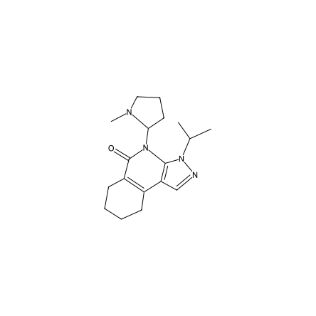 CC(C)n1ncc2c3c(c(=O)n(C4CCCN4C)c21)CCCC3